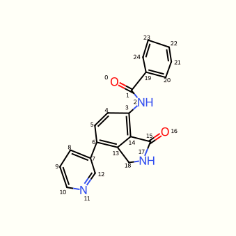 O=C(Nc1ccc(-c2cccnc2)c2c1C(=O)NC2)c1ccccc1